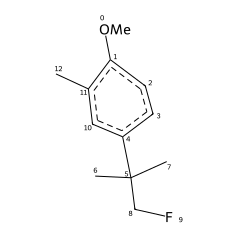 COc1ccc(C(C)(C)CF)cc1C